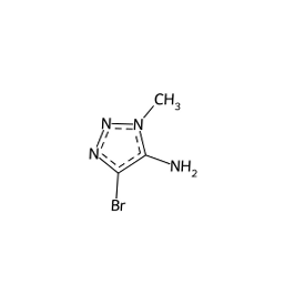 Cn1nnc(Br)c1N